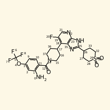 Nc1cc(OC(F)(F)F)ccc1C(=O)N1CCC(c2c(F)cnc3[nH]c(C4CCS(=O)(=O)CC4)nc23)CC1